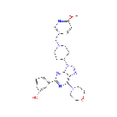 COc1ccc(CN2CCC(n3cnc4c(N5CCOCC5)nc(-c5cccc(O)c5)nc43)CC2)cn1